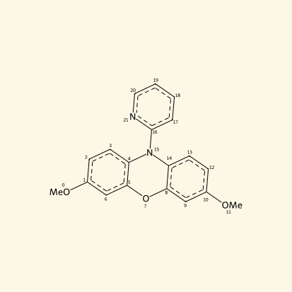 COc1ccc2c(c1)Oc1cc(OC)ccc1N2c1ccccn1